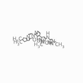 CCn1cc(NC2=CC(c3ccnc(-n4ccn5c6c(cc5c4=O)CC(C)(C)C6)c3CO)=NN(C)C2O)nn1